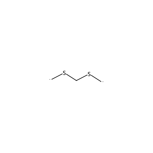 [CH2]SCS[CH2]